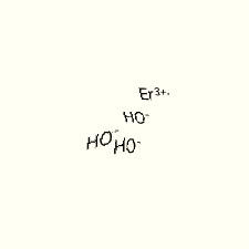 [Er+3].[OH-].[OH-].[OH-]